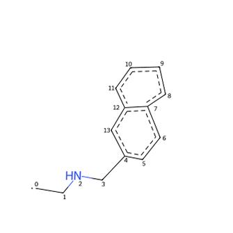 [CH2]CNCc1ccc2ccccc2c1